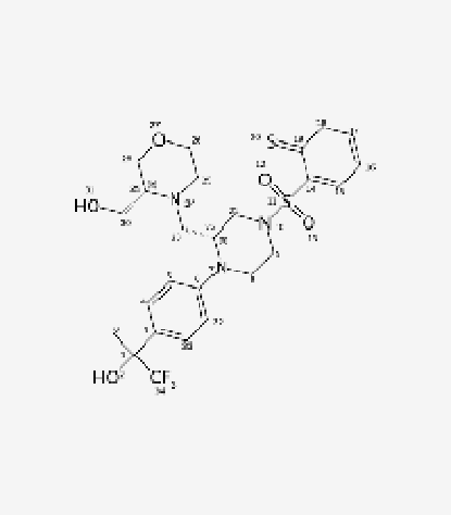 CC(O)(c1ccc(N2CCN(S(=O)(=O)C3=CC=CCC3=S)C[C@H]2CN2CCOC[C@H]2CO)cc1)C(F)(F)F